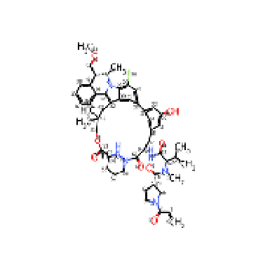 C=CC(=O)N1CC[C@H](C(=O)N(C)C(C(=O)N[C@H]2Cc3cc(O)cc(c3)-c3cc(F)c4c(c3)c(c(-c3ccccc3CCOC)n4CC)CC(C)(C)COC(=O)[C@@H]3CCCN(N3)C2=O)C(C)C)C1